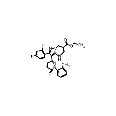 CCOC(=O)C1CNc2c(-c3ccc(=O)n(-c4ccccc4C)n3)c(-c3ccc(F)cc3F)nn2C1